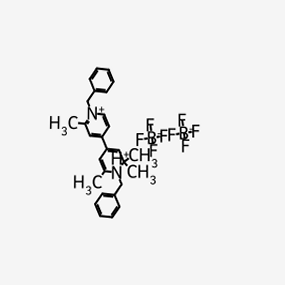 CC1=CC(c2cc[n+](Cc3ccccc3)c(C)c2)=CC(C)(C)[NH+]1Cc1ccccc1.F[B-](F)(F)F.F[B-](F)(F)F